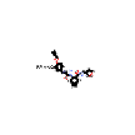 C#CCOc1ccc(/C=C/C(=O)Nc2ccccc2C(=O)NCC2CCOC2)cc1OC